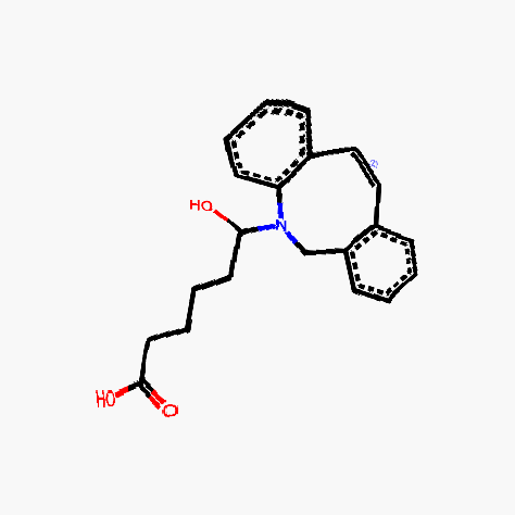 O=C(O)CCCCC(O)N1Cc2ccccc2/C=C\c2ccccc21